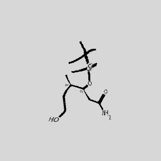 C[C@H](CCO)[C@H](CC(N)=O)O[Si](C)(C)C(C)(C)C